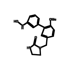 COc1ccc(CN2CCNC2=O)cc1-c1cccc(NO)c1